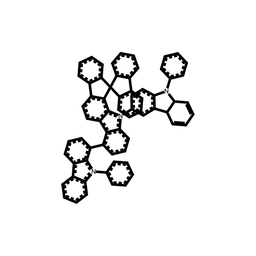 C1=CC2c3cc(-n4c5cccc(-c6cccc7c8ccccc8n(-c8ccccc8)c67)c5c5ccc6c(c54)C4(c5ccccc5-c5ccccc54)c4ccccc4-6)ccc3N(c3ccccc3)C2C=C1